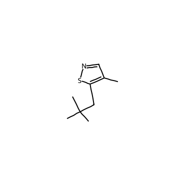 Cc1cnsc1CC(C)(C)C